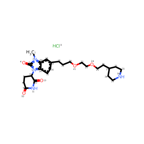 Cl.Cn1c(=O)n(C2CCC(=O)NC2=O)c2ccc(CCCOCCOCCC3CCNCC3)cc21